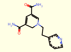 NC(=O)C1=CN(CCc2cccnc2)CC(C(N)=O)=C1